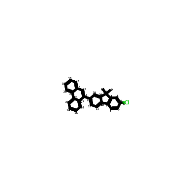 CC1(C)c2cc(Cl)ccc2-c2ccc(-c3cc4ccccc4c4ccccc34)cc21